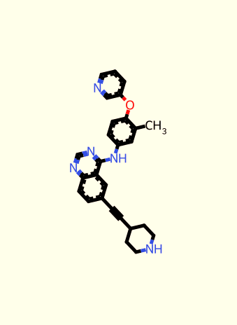 Cc1cc(Nc2ncnc3ccc(C#CC4CCNCC4)cc23)ccc1Oc1cccnc1